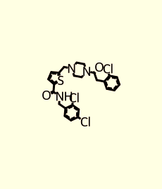 O=C(NCc1ccc(Cl)cc1Cl)c1ccc(CN2CCN(C(=O)Cc3ccccc3Cl)CC2)s1